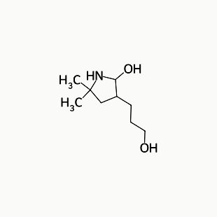 CC1(C)CC(CCCO)C(O)N1